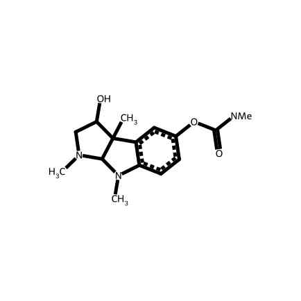 CNC(=O)Oc1ccc2c(c1)C1(C)C(O)CN(C)C1N2C